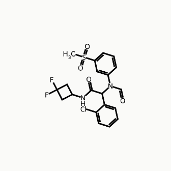 CS(=O)(=O)c1cccc(N(C=O)C(C(=O)NC2CC(F)(F)C2)c2ccccc2Cl)c1